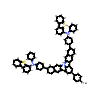 CC(C)(C)c1ccc(-c2cc3c4cc5ccc(-c6ccc(N(c7ccccc7)c7cccc8c7sc7ccccc78)cc6)cc5cc4n4c5cc6cc(-c7ccc(N(c8ccccc8)c8cccc9c8sc8ccccc89)cc7)ccc6cc5c(c2)c34)cc1